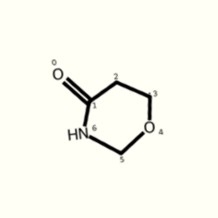 O=C1C[CH]OCN1